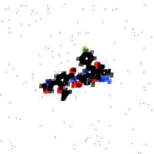 C[C@]1(C(N)=O)COc2c1cc(C(O)(CNC(=O)c1ccc(-c3cocn3)c(OC3CC3)c1)C(F)(F)F)nc2-c1ccc(F)cc1